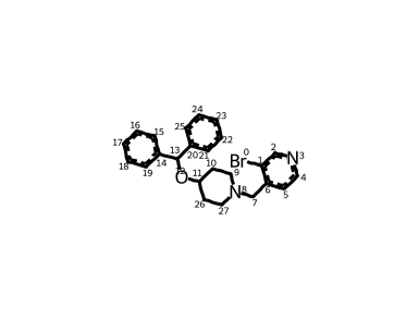 Brc1cnccc1CN1CCC(OC(c2ccccc2)c2ccccc2)CC1